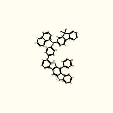 CC1(C)c2ccccc2-c2ccc(N(c3ccc(-c4cccc5c4oc4c(-c6ccccc6)c6c(cc45)oc4ccccc46)cc3)c3cccc4ccccc34)cc21